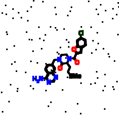 CSCC[C@H]1C(=O)N(Cc2ccc3c(N)ncnc3c2)CCN1C(=O)c1cc2ccc(Cl)cc2o1